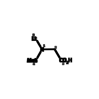 CCN(CC(=O)O)SC